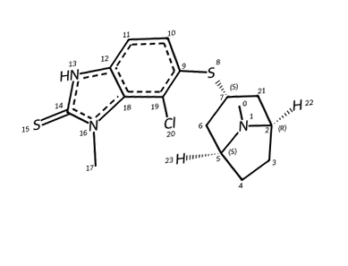 CN1[C@@H]2CC[C@H]1C[C@H](Sc1ccc3[nH]c(=S)n(C)c3c1Cl)C2